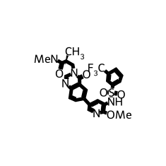 CNC(=O)[C@@H](C)Cn1cnc2ccc(-c3cnc(OC)c(NS(=O)(=O)c4cccc(C(F)(F)F)c4)c3)cc2c1=O